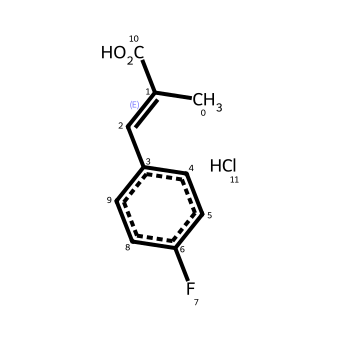 C/C(=C\c1ccc(F)cc1)C(=O)O.Cl